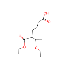 CCOC(=O)C(CCCC(=O)O)C(C)OCC